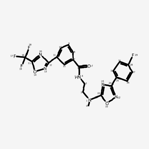 CN(CCNC(=O)c1cccc(-c2noc(C(F)(F)F)n2)c1)c1nc(-c2ccc(F)cc2)no1